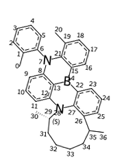 Cc1ccccc1N1c2cccc3c2B(c2cccc(C)c21)c1cccc2c1N3[C@@H](C)CCCCC2C